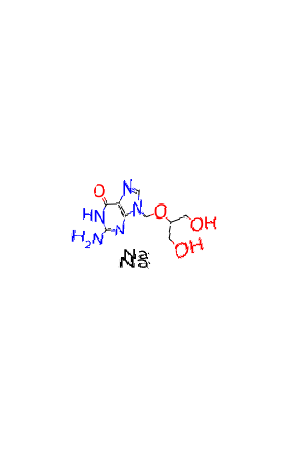 Nc1nc2c(ncn2COC(CO)CO)c(=O)[nH]1.[Na].[Na]